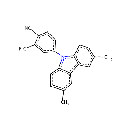 Cc1ccc2c(c1)c1cc(C)ccc1n2-c1ccc(C#N)c(C(F)(F)F)c1